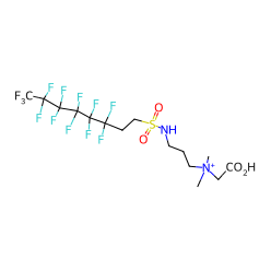 C[N+](C)(CCCNS(=O)(=O)CCC(F)(F)C(F)(F)C(F)(F)C(F)(F)C(F)(F)C(F)(F)F)CC(=O)O